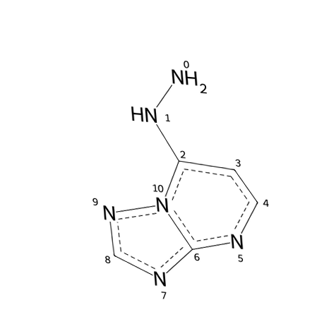 NNc1ccnc2ncnn12